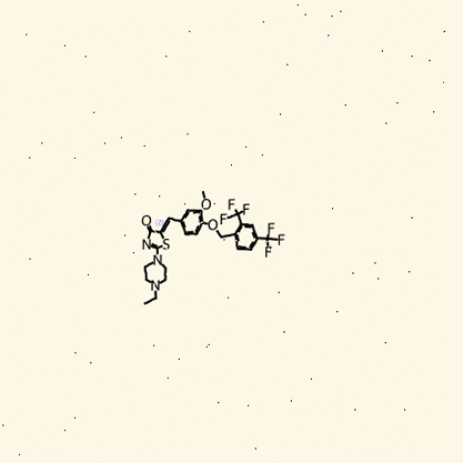 CCN1CCN(C2=NC(=O)/C(=C/c3ccc(OCc4ccc(C(F)(F)F)cc4C(F)(F)F)c(OC)c3)S2)CC1